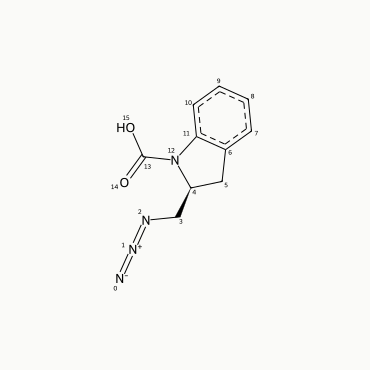 [N-]=[N+]=NC[C@@H]1Cc2ccccc2N1C(=O)O